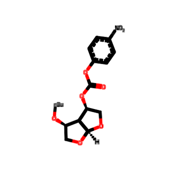 CCCCO[C@@H]1CO[C@@H]2OC[C@H](OC(=O)Oc3ccc([N+](=O)[O-])cc3)C21